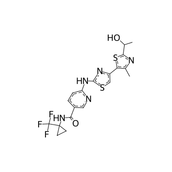 Cc1nc(C(C)O)sc1-c1csc(Nc2ccc(C(=O)NC3(C(F)(F)F)CC3)cn2)n1